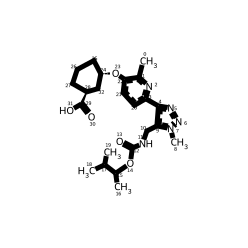 Cc1nc(-c2nnn(C)c2CNC(=O)OC(C)C(C)C)ccc1O[C@H]1CCC[C@H](C(=O)O)C1